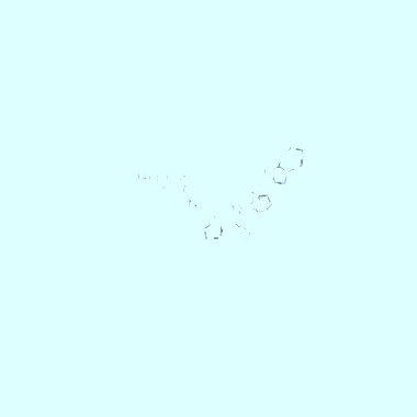 O=C(O)O[C@@H]1CCCN1CCCN(C(=O)c1cccs1)c1nc(-c2cc3ccccc3o2)cs1